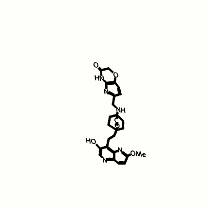 COc1ccc2ncc(O)c(CCC34CCC(NCc5ccc6c(n5)NC(=O)CO6)(CC3)CO4)c2n1